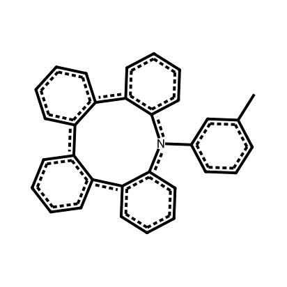 Cc1cccc(-n2c3ccccc3c3ccccc3c3ccccc3c3ccccc32)c1